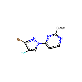 COc1nccc(-n2cc(F)c(Br)n2)n1